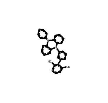 N#Cc1ccnc(C#N)c1-c1cccc(N2c3ccccc3N(c3ccccc3)c3ccccc32)c1